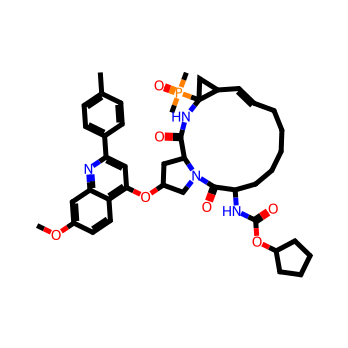 COc1ccc2c(OC3CC4C(=O)NC5(P(C)(C)=O)CC5/C=C/CCCCCC(NC(=O)OC5CCCC5)C(=O)N4C3)cc(-c3ccc(C)cc3)nc2c1